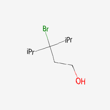 CC(C)C(Br)(CCO)C(C)C